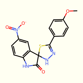 COc1ccc(C2=NNC3(S2)C(=O)Nc2ccc([N+](=O)[O-])cc23)cc1